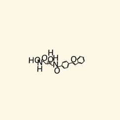 O=C(C[C@H](O)CNC(=O)c1ccc(-c2cc3ccccc3o2)cc1)NO